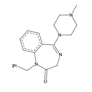 CC(C)CN1C(=O)CN=C(N2CCN(C)CC2)c2ccccc21